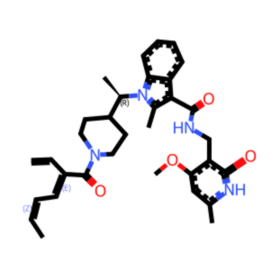 C=C/C(=C\C=C/C)C(=O)N1CCC([C@@H](C)n2c(C)c(C(=O)NCc3c(OC)cc(C)[nH]c3=O)c3ccccc32)CC1